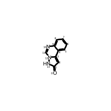 O=c1cc2c3ccccc3ncn2[nH]1